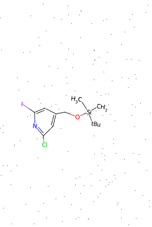 CC(C)(C)[Si](C)(C)OCc1cc(Cl)nc(I)c1